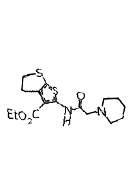 CCOC(=O)c1c(NC(=O)CN2CCCCC2)sc2c1CCS2